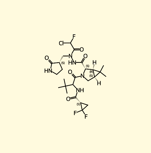 CC(C)(C)C(NC(=O)[C@@H]1CC1(F)F)C(=O)N1C[C@H]2[C@@H]([C@H]1C(=O)NN(C[C@@H]1CCNC1=O)C(=O)C(F)Cl)C2(C)C